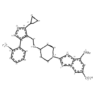 COc1cc(C(=O)O)cc2sc(N3CCC(OCc4c(-c5ccccc5C(F)(F)F)noc4C4CC4)CC3)nc12